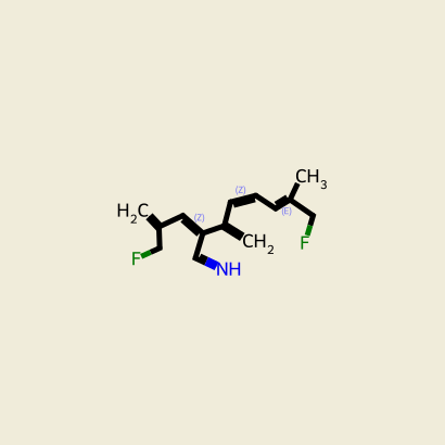 C=C(/C=C(\C=N)C(=C)/C=C\C=C(/C)CF)CF